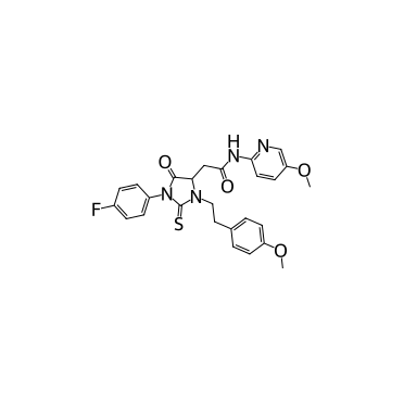 COc1ccc(CCN2C(=S)N(c3ccc(F)cc3)C(=O)C2CC(=O)Nc2ccc(OC)cn2)cc1